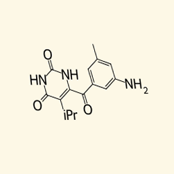 Cc1cc(N)cc(C(=O)c2[nH]c(=O)[nH]c(=O)c2C(C)C)c1